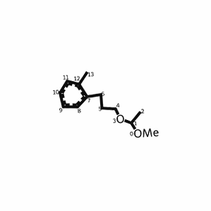 COC(C)OCCCc1ccccc1C